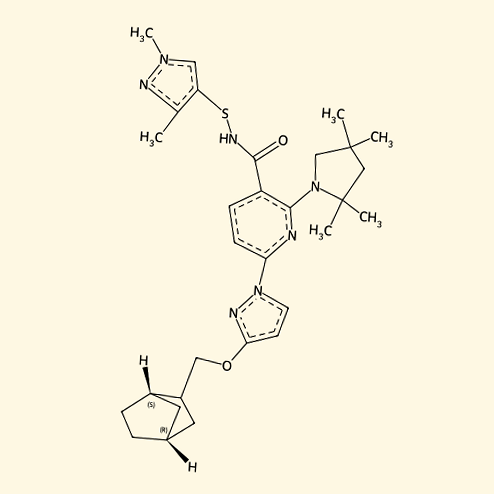 Cc1nn(C)cc1SNC(=O)c1ccc(-n2ccc(OCC3C[C@@H]4CC[C@H]3C4)n2)nc1N1CC(C)(C)CC1(C)C